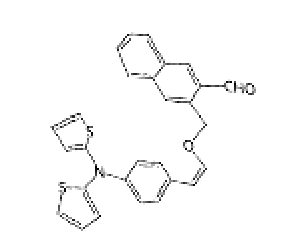 O=Cc1cc2ccccc2cc1CO/C=C\c1ccc(N(c2cccs2)c2cccs2)cc1